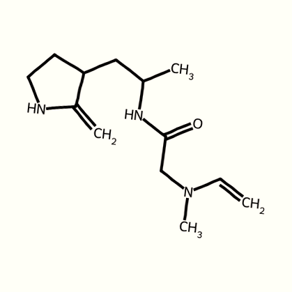 C=CN(C)CC(=O)NC(C)CC1CCNC1=C